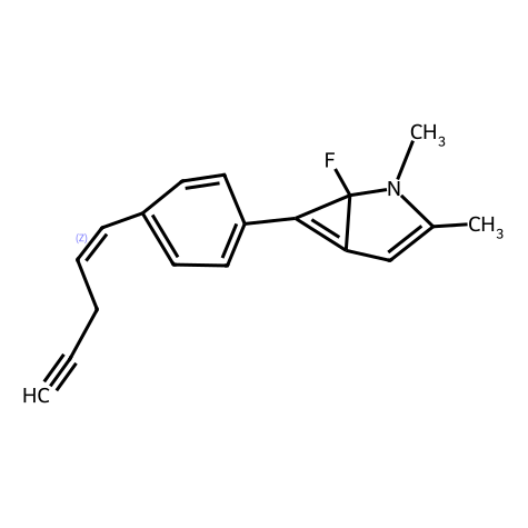 C#CC/C=C\c1ccc(C2=C3C=C(C)N(C)C32F)cc1